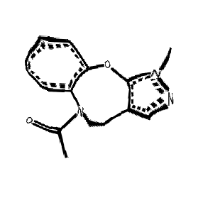 CC(=O)N1Cc2cnn(C)c2Oc2ccccc21